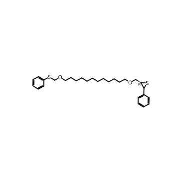 c1ccc(SCOCCCCCCCCCCCCOC[C@H]2SC2c2ccccc2)cc1